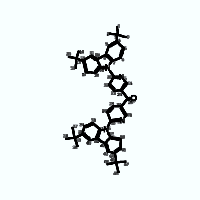 CC(C)(C)c1ccc2c(c1)c1cc(C(C)(C)C)ccc1n2-c1ccc(C(=O)c2ccc(-n3c4ccc(C(C)(C)C)cc4c4cc(C(C)(C)C)ccc43)nc2)cn1